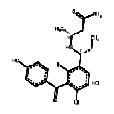 CC[C@@H](N[C@H](C)CC(N)=O)c1ccc(Cl)c(C(=O)c2ccc(O)cc2)c1F.Cl